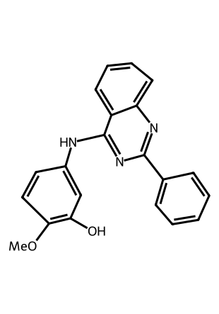 COc1ccc(Nc2nc(-c3ccccc3)nc3ccccc23)cc1O